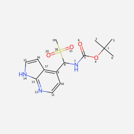 CC(C)(C)OC(=O)NC(c1ccnc2[nH]ccc12)S(C)(=O)=O